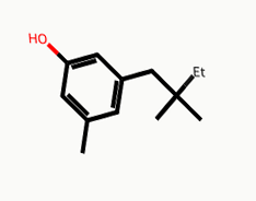 CCC(C)(C)Cc1cc(C)cc(O)c1